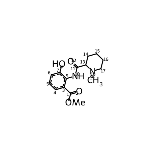 COC(=O)c1cccc(O)c1NC(=O)C1CCCCN1C